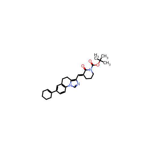 CC(C)(C)OC(=O)N1CCC/C(=C\c2ncn3c2CCc2cc(C4=CCCCC4)ccc2-3)C1=O